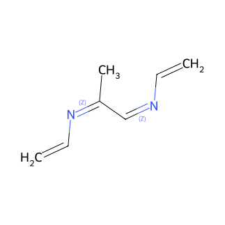 C=C/N=C\C(C)=N/C=C